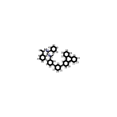 C=C(/N=C(\N=C(/C)c1cccc(-c2cccc(-c3ccc4c5ccccc5c5ccccc5c4c3)c2)c1)c1ccccc1)c1ccccc1